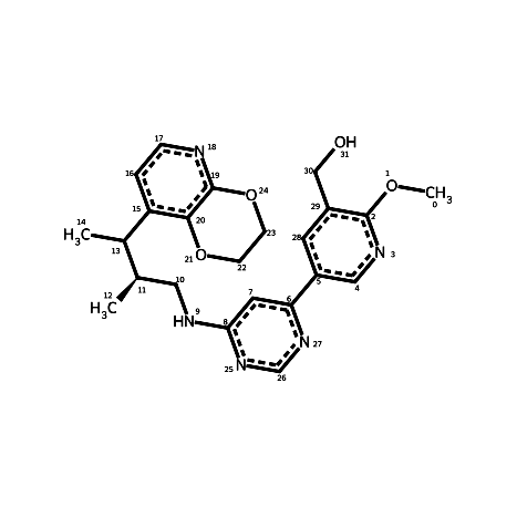 COc1ncc(-c2cc(NC[C@@H](C)C(C)c3ccnc4c3OCCO4)ncn2)cc1CO